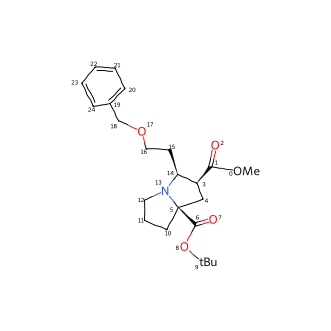 COC(=O)[C@H]1C[C@]2(C(=O)OC(C)(C)C)CCCN2[C@H]1CCOCc1ccccc1